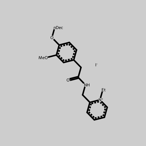 CCCCCCCCCCOc1ccc(CC(=O)NCc2cccc[n+]2CC)cc1OC.[I-]